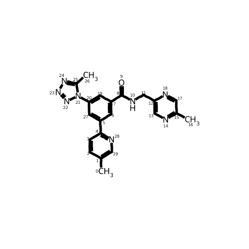 Cc1ccc(-c2cc(C(=O)NCc3cnc(C)cn3)cc(-n3nnnc3C)c2)nc1